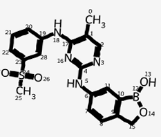 Cc1cnc(Nc2ccc3c(c2)B(O)OC3)nc1Nc1cccc(S(C)(=O)=O)c1